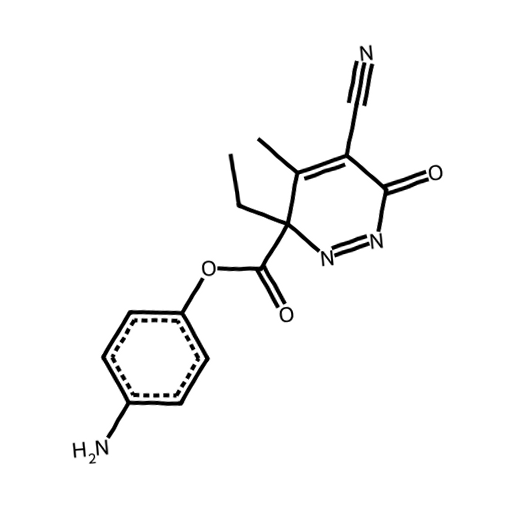 CCC1(C(=O)Oc2ccc(N)cc2)N=NC(=O)C(C#N)=C1C